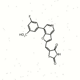 O=C1NC(=O)/C(=C\c2cc3cncc(-c4cc(F)cc(C(=O)O)c4)c3o2)S1